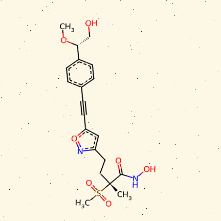 CO[C@H](CO)c1ccc(C#Cc2cc(CC[C@](C)(C(=O)NO)S(C)(=O)=O)no2)cc1